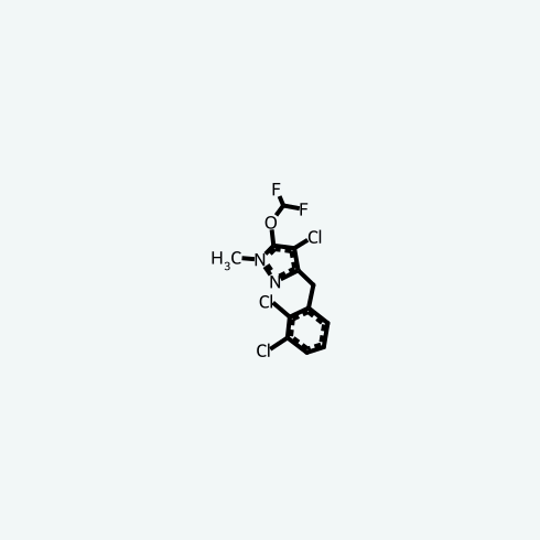 Cn1nc(Cc2cccc(Cl)c2Cl)c(Cl)c1OC(F)F